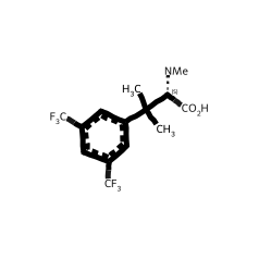 CN[C@H](C(=O)O)C(C)(C)c1cc(C(F)(F)F)cc(C(F)(F)F)c1